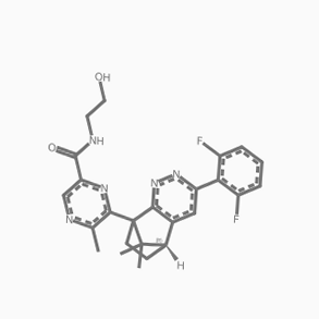 Cc1ncc(C(=O)NCCO)nc1C12CC[C@@H](c3cc(-c4c(F)cccc4F)nnc31)C2(C)C